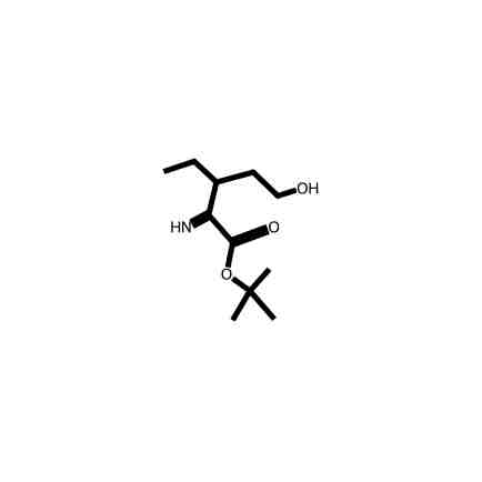 CCC(CCO)C(=N)C(=O)OC(C)(C)C